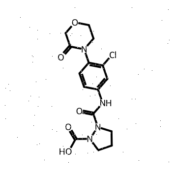 O=C1COCCN1c1ccc(NC(=O)N2CCCN2C(=O)O)cc1Cl